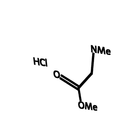 CNCC(=O)OC.Cl